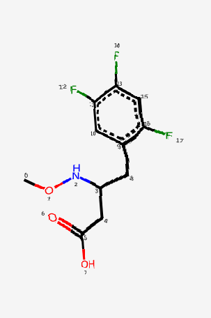 CONC(CC(=O)O)Cc1cc(F)c(F)cc1F